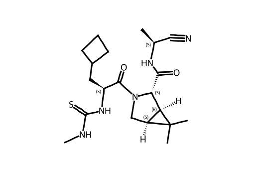 CNC(=S)N[C@@H](CC1CCC1)C(=O)N1C[C@H]2[C@@H]([C@H]1C(=O)N[C@@H](C)C#N)C2(C)C